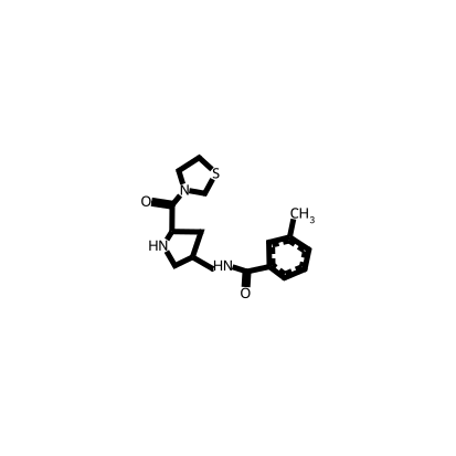 Cc1cccc(C(=O)NCC2CNC(C(=O)N3CCSC3)C2)c1